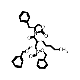 CCCCC[C@@H](C(=O)N1C(=O)OC[C@@H]1Cc1ccccc1)[C@@H](COCc1ccccc1)N(C=O)OCc1ccccc1